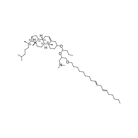 CCCCCC=CCC=CCCCCCCCCOCC(CN(C)C)OC(CCC)OC1CC[C@@]2(C)C(=CC[C@H]3[C@@H]4CC[C@H]([C@H](C)CCCC(C)C)[C@@]4(C)CC[C@@H]32)C1